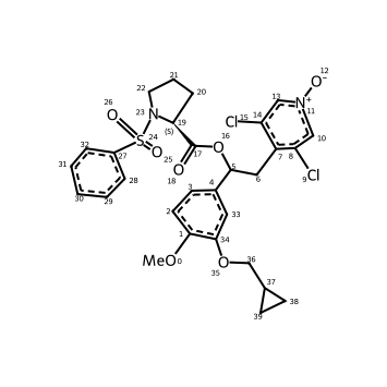 COc1ccc(C(Cc2c(Cl)c[n+]([O-])cc2Cl)OC(=O)[C@@H]2CCCN2S(=O)(=O)c2ccccc2)cc1OCC1CC1